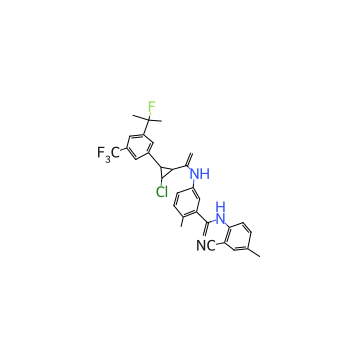 C=C(Nc1ccc(C)cc1C#N)c1cc(NC(=C)C2C(Cl)C2c2cc(C(C)(C)F)cc(C(F)(F)F)c2)ccc1C